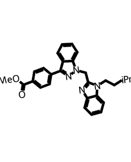 COC(=O)c1ccc(-c2nn(Cc3nc4ccccc4n3CCC(C)C)c3ccccc23)cc1